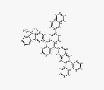 CC1(C)c2ccccc2-c2cc(-c3c4ccccc4c(-c4ccc5nc(-c6ccccc6)c(-c6ccccc6)nc5c4)c4ccc(-c5ccc6ccccc6c5)cc34)ccc21